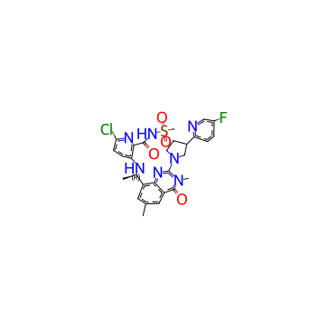 Cc1cc([C@@H](C)Nc2ccc(Cl)nc2C(=O)NS(C)(=O)=O)c2nc(N3CCC(c4ccc(F)cn4)C3)n(C)c(=O)c2c1